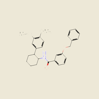 COc1ccc(C2CCCCC2NC(=O)c2cccc(OCc3ccccc3)c2)cc1OC